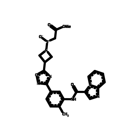 COC(=O)C[S+]([O-])N1CC(c2nc(-c3ccc(C)c(NC(=O)c4cnc5ccccn45)c3)no2)C1